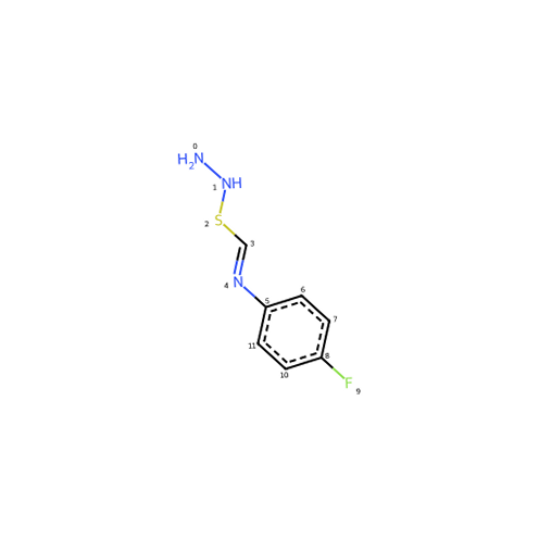 NNSC=Nc1ccc(F)cc1